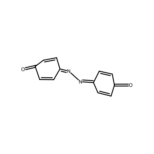 O=C1C=CC(=NN=C2C=CC(=O)C=C2)C=C1